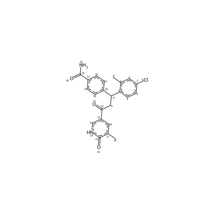 Cc1cc(Cl)ccc1C(CC(=O)c1c[nH]c(=O)c(C)c1)c1ccc(C(N)=O)cc1